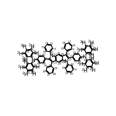 [2H]c1c([2H])c([2H])c(N(c2ccc(-c3c(-c4ccccc4)c4cc5c(cc4n3-c3ccccc3)c(-c3ccccc3)c(-c3ccc(N(c4c([2H])c([2H])c([2H])c([2H])c4[2H])c4c([2H])c([2H])c([2H])c([2H])c4[2H])cc3)n5-c3ccccc3)cc2)c2c([2H])c([2H])c([2H])c([2H])c2[2H])c([2H])c1[2H]